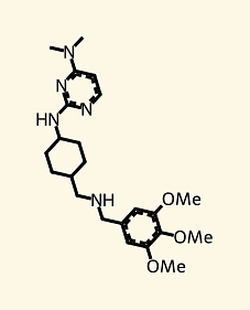 COc1cc(CNCC2CCC(Nc3nccc(N(C)C)n3)CC2)cc(OC)c1OC